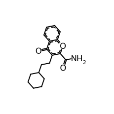 NC(=O)c1oc2ccccc2c(=O)c1CCC1CCCCC1